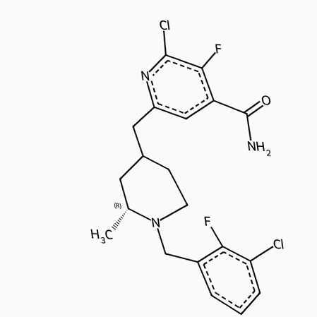 C[C@@H]1CC(Cc2cc(C(N)=O)c(F)c(Cl)n2)CCN1Cc1cccc(Cl)c1F